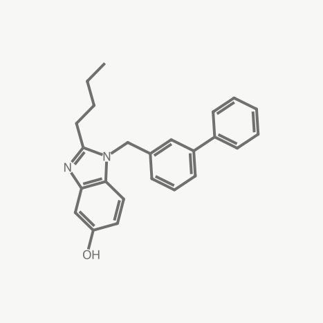 CCCCc1nc2cc(O)ccc2n1Cc1cccc(-c2ccccc2)c1